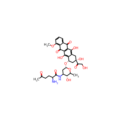 COc1cccc2c1C(=O)c1c(O)c3c(c(O)c1C2=O)C[C@@](O)(C(=O)CO)C[C@@H]3O[C@H]1CC(NC(=O)C(N)CCC(C)=O)[C@@H](O)C(C)O1